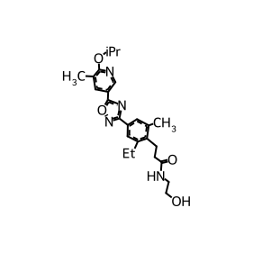 CCc1cc(-c2noc(-c3cnc(OC(C)C)c(C)c3)n2)cc(C)c1CCC(=O)NCCO